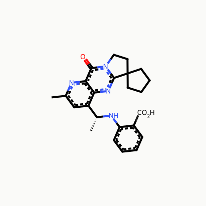 Cc1cc([C@@H](C)Nc2ccccc2C(=O)O)c2nc3n(c(=O)c2n1)CCC31CCCC1